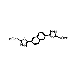 CCCCCCCCc1nnc(-c2ccc3cc(-c4nnc(CCCCCCCC)s4)ccc3c2)s1